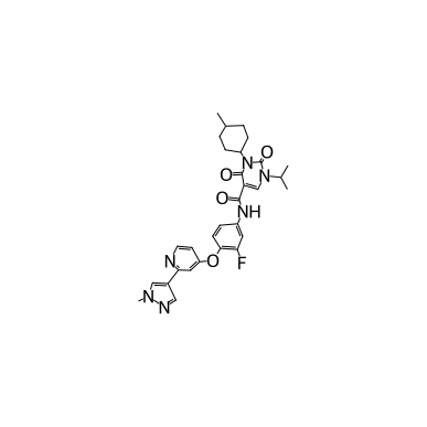 CC1CCC(n2c(=O)c(C(=O)Nc3ccc(Oc4ccnc(-c5cnn(C)c5)c4)c(F)c3)cn(C(C)C)c2=O)CC1